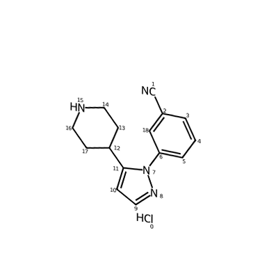 Cl.N#Cc1cccc(-n2nccc2C2CCNCC2)c1